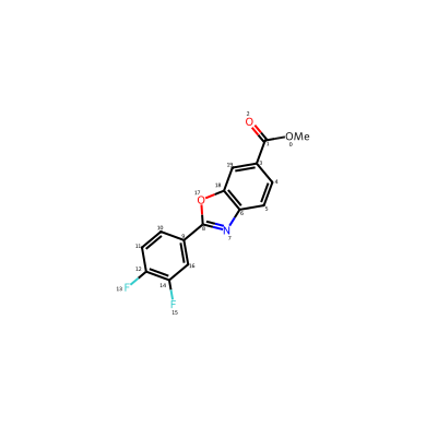 COC(=O)c1ccc2nc(-c3ccc(F)c(F)c3)oc2c1